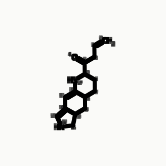 C=CCC(=O)C1CCC2CC3CNC=C3C=C2N1